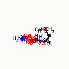 CC(C)(CCCCc1cccc(CCCCCC(C)(C)C(=O)CCNC(=O)CCNC(=O)C(O)C(C)(C)COP(=O)(O)OP(=O)(O)OCC2OC(n3cnc4c(N)ncnc43)C(O)C2OP(=O)(O)O)c1)OC=O